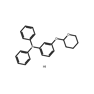 I.c1ccc(P(c2ccccc2)c2cccc(OC3CCCCO3)c2)cc1